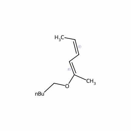 C/C=C\C=C(/C)OCCCCC